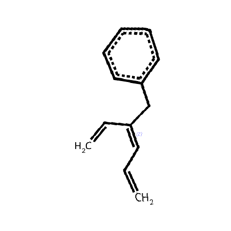 C=C/C=C(\C=C)Cc1ccccc1